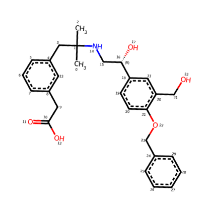 CC(C)(Cc1cccc(CC(=O)O)c1)NC[C@H](O)c1ccc(OCc2ccccc2)c(CO)c1